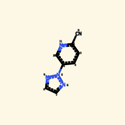 N#Cc1ccc(-n2nccn2)cn1